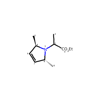 CCOC(=O)C(C)N1[C@H](C)C=C[C@H]1C